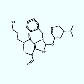 CC(C)C1C=C(OC2NC(N(C)C=O)=C(C(=O)N(C)CCCO)N2Cc2ccccc2)C=CC1